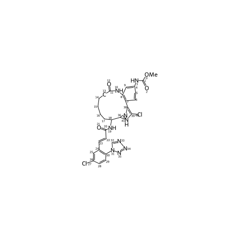 COC(=O)Nc1ccc2c(c1)NC(=O)CCCCCC(NC(=O)C=Cc1cc(Cl)ccc1-n1cnnn1)c1nc-2c(Cl)[nH]1